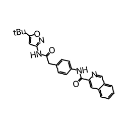 CC(C)(C)c1cc(NC(=O)Cc2ccc(NC(=O)c3cc4ccccc4cn3)cc2)no1